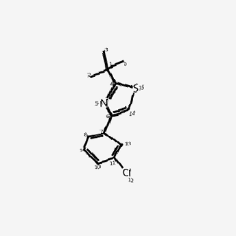 CC(C)(C)c1nc(-c2cccc(Cl)c2)cs1